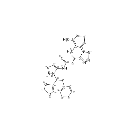 Cc1cccc(-n2nnnc2SCC(=O)Nc2ccnn2C(Cc2ccccc2)C2=COCO2)c1C